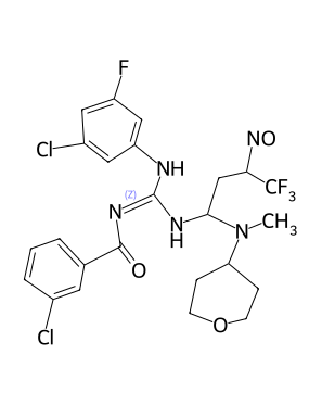 CN(C1CCOCC1)C(CC(N=O)C(F)(F)F)N/C(=N\C(=O)c1cccc(Cl)c1)Nc1cc(F)cc(Cl)c1